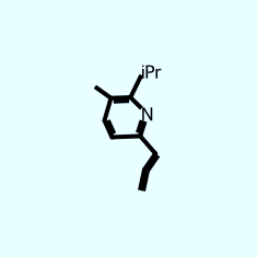 C=C=Cc1ccc(C)c(C(C)C)n1